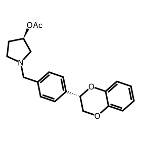 CC(=O)O[C@@H]1CCN(Cc2ccc([C@H]3COc4ccccc4O3)cc2)C1